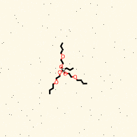 CCCCOCCO[Si](CCC)(OCCOCCCC)OCCOCCCC